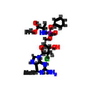 CNc1nc(N)nc2c1ncn2[C@@H]1O[C@H](CO[P@@](=O)(N[C@H](C)C(=O)OC(C)C)Oc2ccccc2)[C@@H](O)[C@@]1(C)Cl